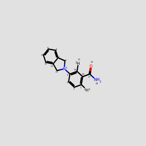 [2H]c1ccc(N2Cc3ccccc3C2)c([2H])c1C(N)=O